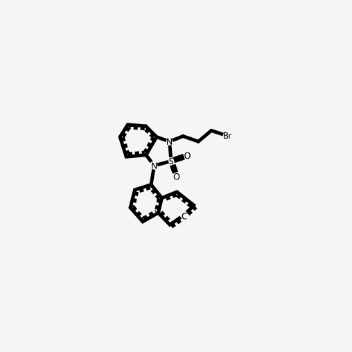 O=S1(=O)N(CCCBr)c2ccccc2N1c1cccc2ccccc12